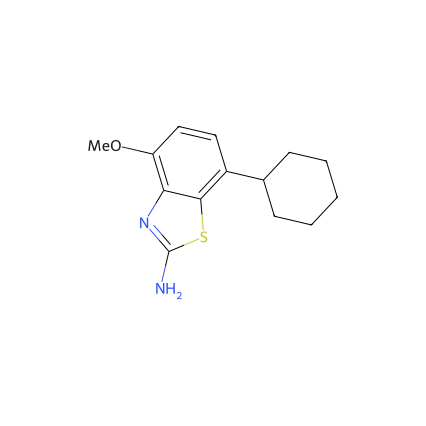 COc1ccc(C2CCCCC2)c2sc(N)nc12